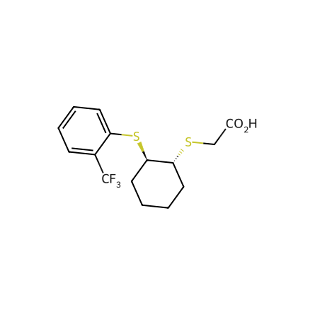 O=C(O)CS[C@@H]1CCCC[C@H]1Sc1ccccc1C(F)(F)F